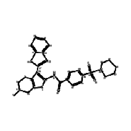 CN1CCc2c(sc(NC(=O)c3ccc(S(=O)(=O)N4CCCCC4)cc3)c2-c2nc3ccccc3s2)C1